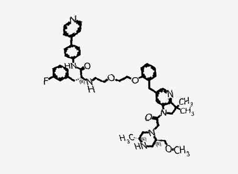 COC[C@H]1CN[C@H](C)CN1CC(=O)N1CC(C)(C)c2ncc(Cc3ccccc3OCCOCCN[C@H](Cc3cccc(F)c3)C(=O)Nc3ccc(-c4ccncc4)cc3)cc21